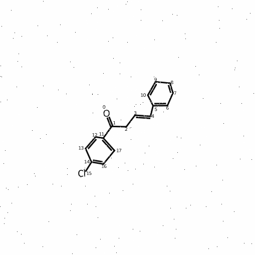 O=C(CC=Cc1ccccc1)c1ccc(Cl)cc1